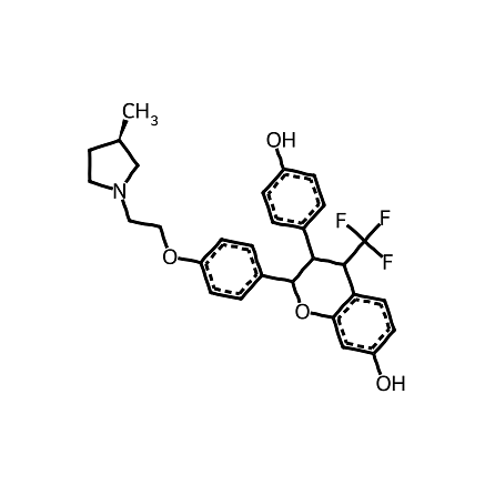 C[C@@H]1CCN(CCOc2ccc(C3Oc4cc(O)ccc4C(C(F)(F)F)C3c3ccc(O)cc3)cc2)C1